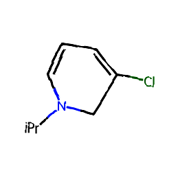 CC(C)N1C=CC=C(Cl)C1